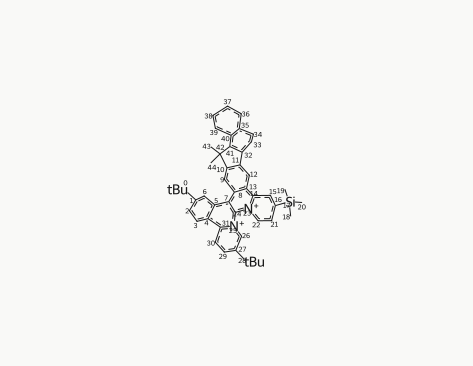 CC(C)(C)c1ccc2c(c1)c1c3cc4c(cc3c3cc([Si](C)(C)C)cc[n+]3c1[n+]1cc(C(C)(C)C)ccc21)-c1ccc2ccccc2c1C4(C)C